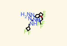 NC1=NC(CC2CC(F)(F)C2)(c2cccc(C(F)(F)F)n2)NC(NCC2CC(F)(F)C2)=N1